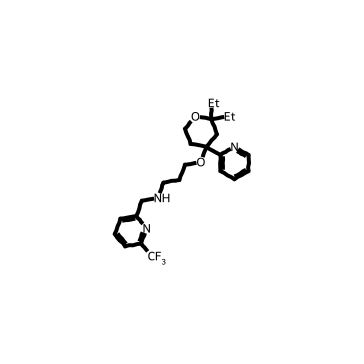 CCC1(CC)CC(OCCCNCc2cccc(C(F)(F)F)n2)(c2ccccn2)CCO1